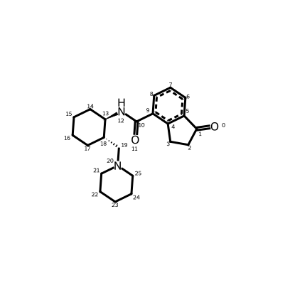 O=C1CCc2c1cccc2C(=O)N[C@@H]1CCCC[C@H]1CN1CCCCC1